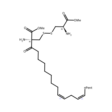 CCCCC/C=C\C/C=C\CCCCCCCC(=O)[C@](N)(CSSC[C@H](N)C(=O)OC)C(=O)OC